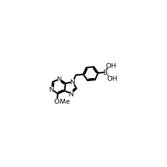 COc1ncnc2c1ncn2Cc1ccc(B(O)O)cc1